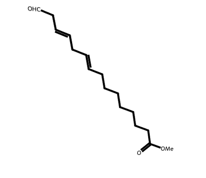 COC(=O)CCCCCCC/C=C/C/C=C/CC=O